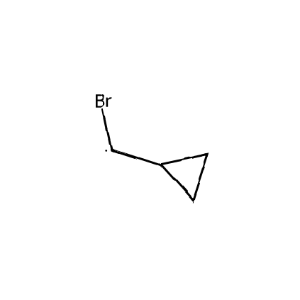 Br[CH]C1CC1